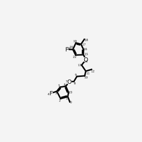 Cc1cc(F)cc(OCCCC(C)COc2cc(C)cc(F)c2)c1